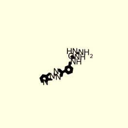 N=C(N)NC(=O)NCc1cccc(-c2cnc(N3Cc4cccnc4C3)nc2)c1